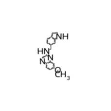 COc1ccc2ncc(NCc3ccc4cc[nH]c4c3)nc2c1